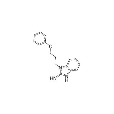 N=c1[nH]c2ccccc2n1CCCOc1ccccc1